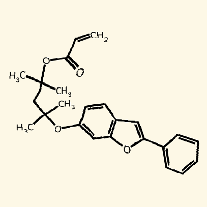 C=CC(=O)OC(C)(C)CC(C)(C)Oc1ccc2cc(-c3ccccc3)oc2c1